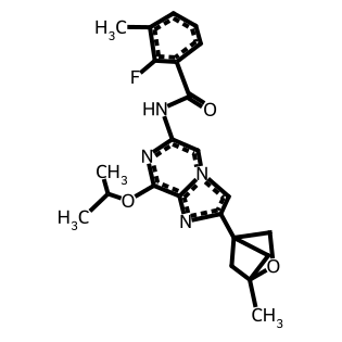 Cc1cccc(C(=O)Nc2cn3cc(C45COC(C)(C4)C5)nc3c(OC(C)C)n2)c1F